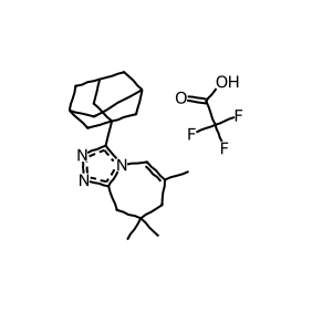 CC1=Cn2c(nnc2C23CC4CC(CC(C4)C2)C3)CC(C)(C)C1.O=C(O)C(F)(F)F